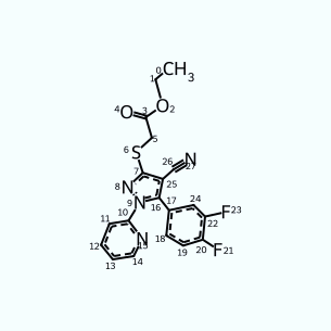 CCOC(=O)CSc1nn(-c2ccccn2)c(-c2ccc(F)c(F)c2)c1C#N